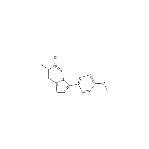 COc1ccc(-c2ccc(C=C(C)[N+](=O)[O-])s2)cc1